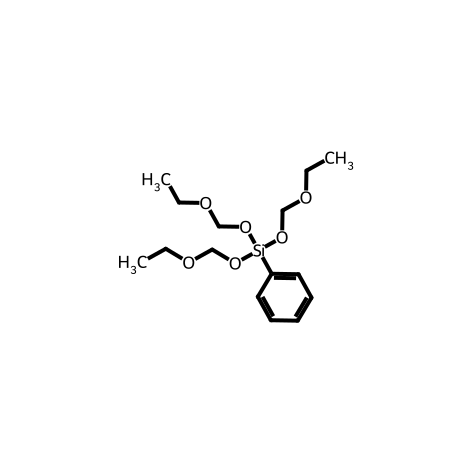 CCOCO[Si](OCOCC)(OCOCC)c1ccccc1